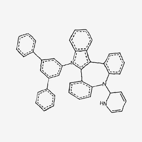 C1=CNC(N2c3ccccc3-c3c(n(-c4cc(-c5ccccc5)cc(-c5ccccc5)c4)c4ccccc34)-c3ccccc32)C=C1